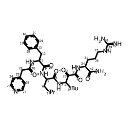 CCC(C)C(NC(=O)C(CC(C)C)NC(=O)C(Cc1ccccc1)NC(=O)Cc1ccncc1)C(=O)C(=O)NC(CCCNC(=N)N)C(N)=O